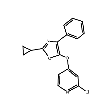 Clc1cc(Oc2oc(C3CC3)nc2-c2ccccc2)ccn1